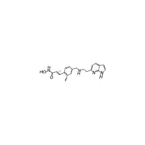 O=C(/C=C/c1ccc(CNCCc2ccc3cc[nH]c3n2)cc1F)NO